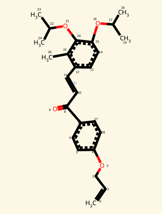 C=CCOc1ccc(C(=O)/C=C/c2ccc(OC(C)C)c(OC(C)C)c2C)cc1